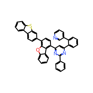 c1ccc(-c2nc(-c3ccccc3-c3cccnc3)cc(-c3ccc(-c4ccc5c(c4)sc4ccccc45)c4oc5ccccc5c34)n2)cc1